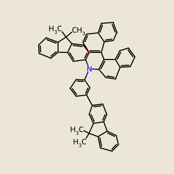 CC1(C)c2ccccc2-c2cc(N(c3cccc(-c4ccc5c(c4)C(C)(C)c4ccccc4-5)c3)c3ccc4ccccc4c3-c3cccc4ccccc34)ccc21